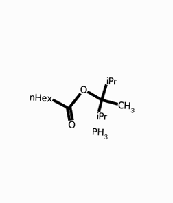 CCCCCCC(=O)OC(C)(C(C)C)C(C)C.P